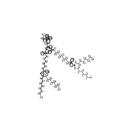 CCCCCCCCC(CCCCCCCC)OC(=O)CCCCCCCCC(=O)O[C@@H](COC(=O)CCCCCCC(=O)OC(CCCCCCCC)CCCCCCCC)COP1(=O)OCCO1